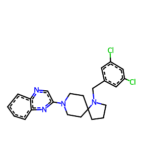 Clc1cc(Cl)cc(CN2CCCC23CCN(c2cnc4ccccc4n2)CC3)c1